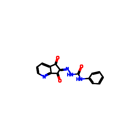 O=C(NN=c1c(=O)c2cccnc2c1=O)Nc1ccccc1